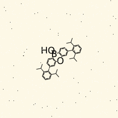 CC(C)c1cccc(C(C)C)c1-c1ccc2c(c1)Oc1cc(-c3c(C(C)C)cccc3C(C)C)ccc1B2O